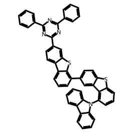 c1ccc(-c2nc(-c3ccccc3)nc(-c3ccc4c(c3)sc3c(-c5ccc6sc7cccc(-n8c9ccccc9c9ccccc98)c7c6c5)cccc34)n2)cc1